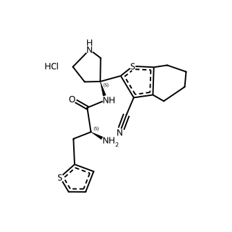 Cl.N#Cc1c([C@]2(NC(=O)[C@@H](N)Cc3cccs3)CCNC2)sc2c1CCCC2